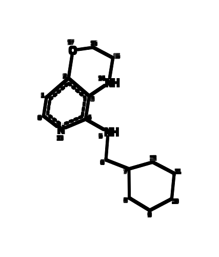 c1cc2c(c(NCC3CCCCC3)n1)NCCO2